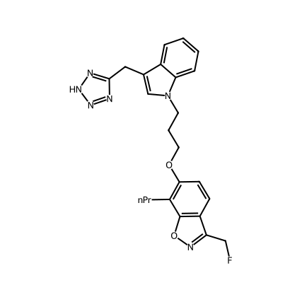 CCCc1c(OCCCn2cc(Cc3nn[nH]n3)c3ccccc32)ccc2c(CF)noc12